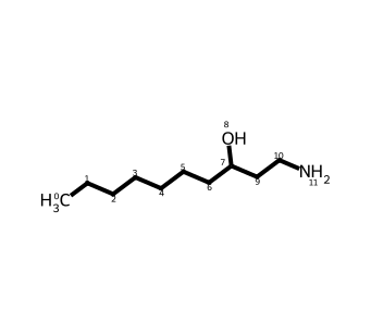 CCCCCCCC(O)CCN